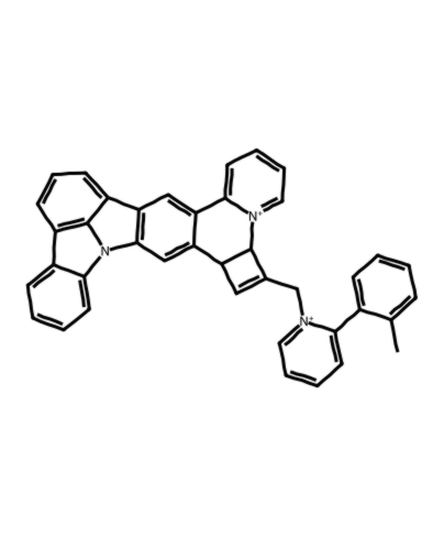 Cc1ccccc1-c1cccc[n+]1CC1=CC2c3cc4c(cc3-c3cccc[n+]3C12)c1cccc2c3ccccc3n4c21